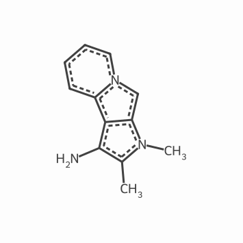 Cc1c(N)c2c(cn3ccccc23)n1C